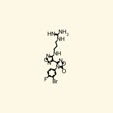 N=C(N)NCCCNc1nonc1-c1noc(=O)n1-c1ccc(F)c(Br)c1